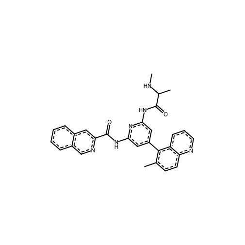 CNC(C)C(=O)Nc1cc(-c2c(C)ccc3ncccc23)cc(NC(=O)c2cc3ccccc3cn2)n1